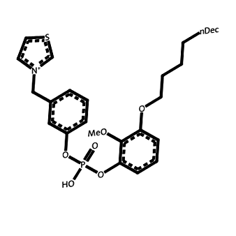 CCCCCCCCCCCCCCOc1cccc(OP(=O)(O)Oc2cccc(C[n+]3ccsc3)c2)c1OC